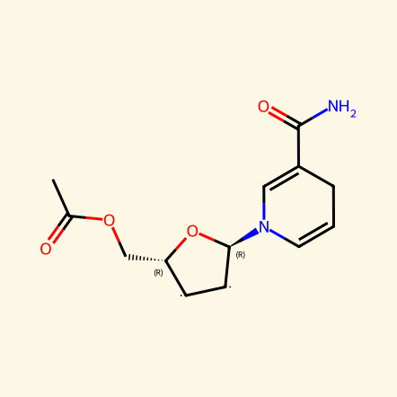 CC(=O)OC[C@H]1[CH][CH][C@H](N2C=CCC(C(N)=O)=C2)O1